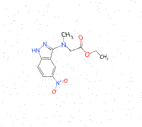 CCOC(=O)CN(C)c1n[nH]c2ccc([N+](=O)[O-])cc12